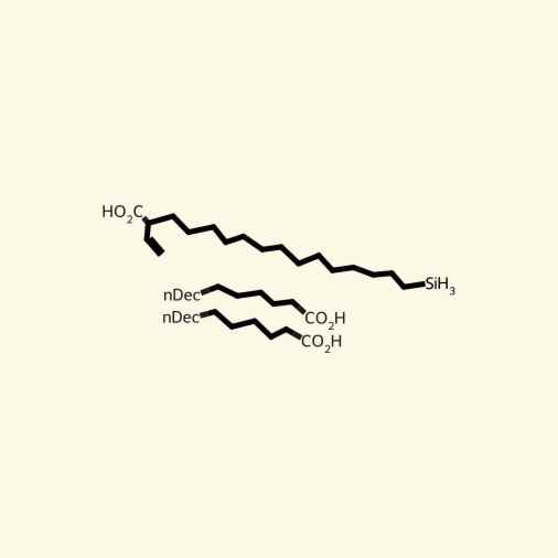 C=CC(CCCCCCCCCCCCCC[SiH3])C(=O)O.CCCCCCCCCCCCCCCC(=O)O.CCCCCCCCCCCCCCCC(=O)O